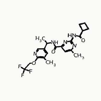 Cc1cc(C(=O)NC(C)c2cnc(OCC(F)(F)F)c(C)c2)nc(NC(=O)C2CCC2)n1